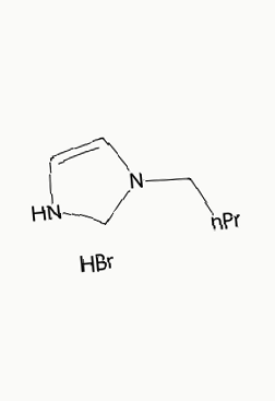 Br.CCCCN1C=CNC1